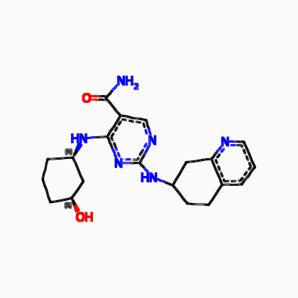 NC(=O)c1cnc(NC2CCc3cccnc3C2)nc1N[C@@H]1CCC[C@H](O)C1